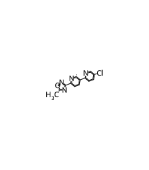 Cc1nc(-c2ccc(-c3ccc(Cl)cn3)[c]n2)no1